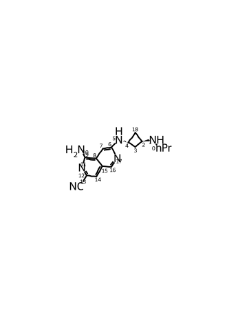 CCCN[C@H]1C[C@H](Nc2cc3c(N)nc(C#N)cc3cn2)C1